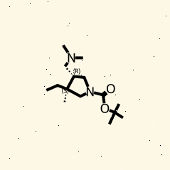 CC[C@]1(C)CN(C(=O)OC(C)(C)C)C[C@H]1CN(C)C